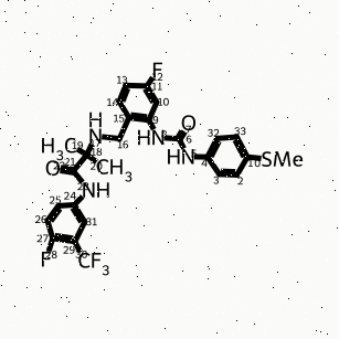 CSc1ccc(NC(=O)Nc2cc(F)ccc2CNC(C)(C)C(=O)Nc2ccc(F)c(C(F)(F)F)c2)cc1